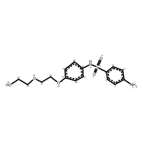 Nc1ccc(S(=O)(=O)Nc2ccc(OCCOCCO)cc2)cc1